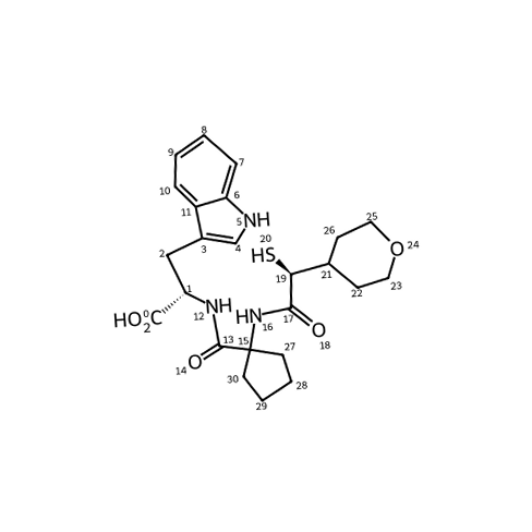 O=C(O)[C@H](Cc1c[nH]c2ccccc12)NC(=O)C1(NC(=O)[C@@H](S)C2CCOCC2)CCCC1